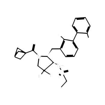 CCS(=O)(=O)N[C@@H]1[C@H](Cc2cccc(-c3ccccc3F)c2F)N(C(=O)C23CC(C2)C3)CC1(F)F